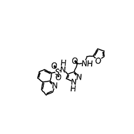 O=C(NCc1ccco1)c1n[nH]cc1NS(=O)(=O)c1cccc2cccnc12